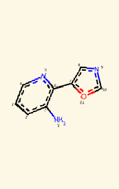 Nc1cccnc1-c1cnco1